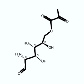 CC(=O)C(=O)OC[C@@H](O)[C@@H](O)[C@H](O)[C@@H](N)C=O